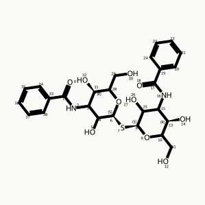 O=C(NC1C(O)[C@H](S[C@@H]2OC(CO)[C@H](O)C(NC(=O)c3ccccc3)C2O)OC(CO)[C@@H]1O)c1ccccc1